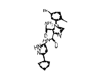 Cc1ccc(Br)cc1-n1cnc(C(=O)Nc2cc(-c3ccccc3)n[nH]2)c1C(N)=O